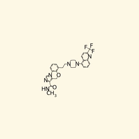 CNC(=O)c1ncn2c1COc1c(CCN3CCN(c4cccc5nc(C(F)(F)F)ccc45)CC3)cccc1-2